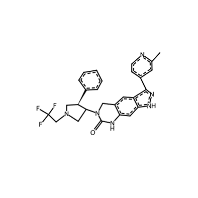 Cc1cc(-c2n[nH]c3cc4c(cc23)CN(C2CN(CC(F)(F)F)C[C@H]2c2ccccc2)C(=O)N4)ccn1